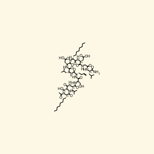 C=CCC[C@H](NC(=O)[C@@H](CO)NC(=O)[C@H](CC(C)C)NC(=O)[C@@H](CO)NC(=O)[C@H](CCCCCCCC)NC(C)=O)C(=O)N(C)[C@H](CC(C)C)C(=O)N[C@@H](CC(=O)O)C(=O)N[C@H](CCCCCCCC)C(=O)N[C@@H](CC(=O)O)C(=O)NCC(=O)N[C@@H](CC(C)C)C(N)=O